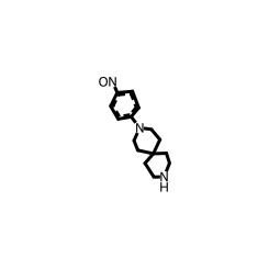 O=Nc1ccc(N2CCC3(CCNCC3)CC2)cc1